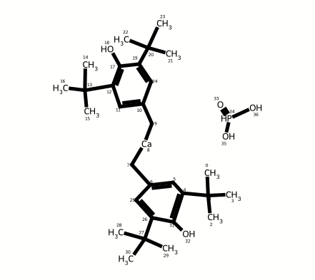 CC(C)(C)c1cc([CH2][Ca][CH2]c2cc(C(C)(C)C)c(O)c(C(C)(C)C)c2)cc(C(C)(C)C)c1O.O=[PH](O)O